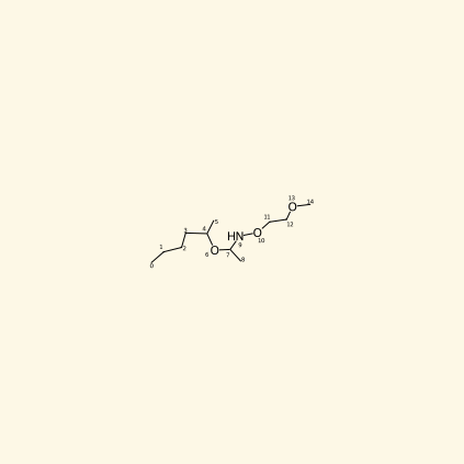 CCCCC(C)OC(C)NOCCOC